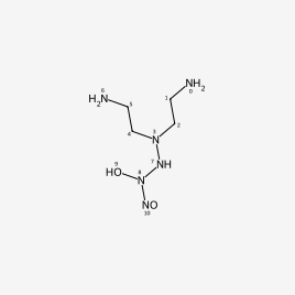 NCCN(CCN)NN(O)N=O